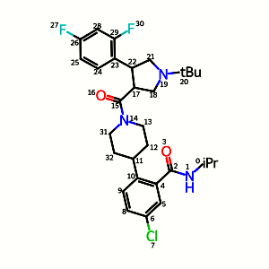 CC(C)NC(=O)c1cc(Cl)ccc1C1CCN(C(=O)C2CN(C(C)(C)C)CC2c2ccc(F)cc2F)CC1